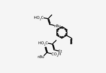 C=C(CCCC)C(=O)O.C=Cc1ccccc1.CC/C=C(\C)C(=O)O.CCCC/C=C(\C)C(=O)O